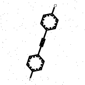 Clc1ccc(C#Cc2ccc(I)cc2)cc1